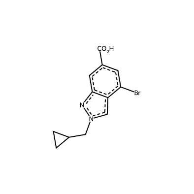 O=C(O)c1cc(Br)c2cn(CC3CC3)nc2c1